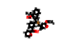 COC(=O)CC1(CS[C@H](CCc2ccccc2C(C)(C)O)c2cccc(C(O)C3CCCCO3)c2)CC1